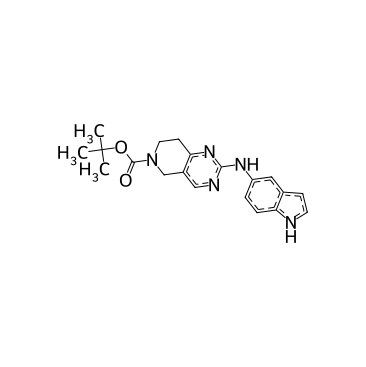 CC(C)(C)OC(=O)N1CCc2nc(Nc3ccc4[nH]ccc4c3)ncc2C1